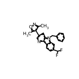 Cc1noc(C)c1-c1cnc2c3ccc(C(F)F)cc3n(Cc3ccccc3)c2c1